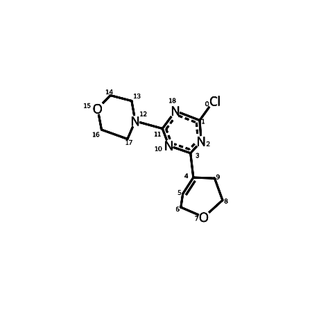 Clc1nc(C2=CCOCC2)nc(N2CCOCC2)n1